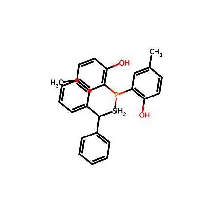 Cc1ccc(O)c(P([SiH2]C(c2ccccc2)c2ccccc2)c2cc(C)ccc2O)c1